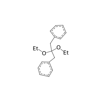 CCOC(Cc1ccccc1)(Cc1ccccc1)OCC